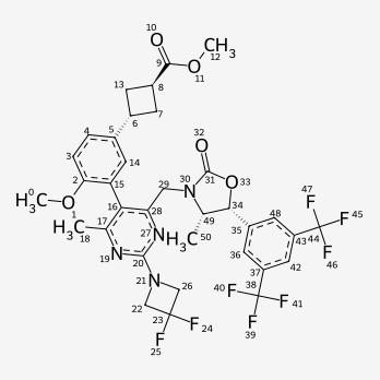 COc1ccc([C@H]2C[C@H](C(=O)OC)C2)cc1-c1c(C)nc(N2CC(F)(F)C2)nc1CN1C(=O)O[C@H](c2cc(C(F)(F)F)cc(C(F)(F)F)c2)[C@@H]1C